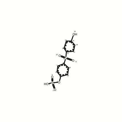 O=S(=O)(O)Oc1ccc(S(=O)(=O)c2ccc(O)cc2)cc1